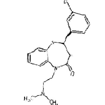 CN(C)CCN1C(=O)[C][C@H](c2cccc(Cl)c2)Sc2ccccc21